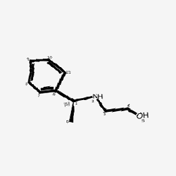 C[C@H](NCCO)c1ccccc1